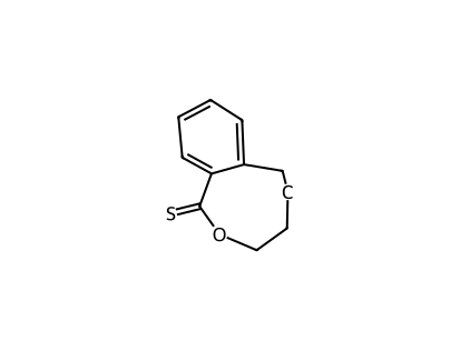 S=C1OCCCCc2ccccc21